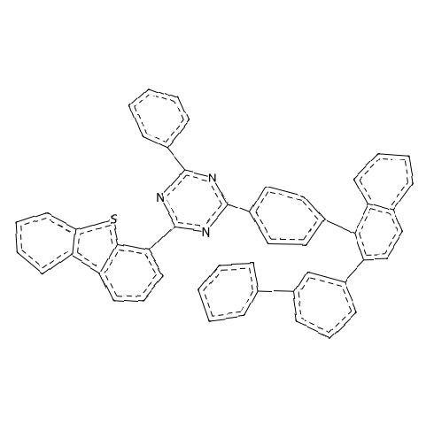 c1ccc(-c2cccc(-c3ccc4ccccc4c3-c3ccc(-c4nc(-c5ccccc5)nc(-c5cccc6c5sc5ccccc56)n4)cc3)c2)cc1